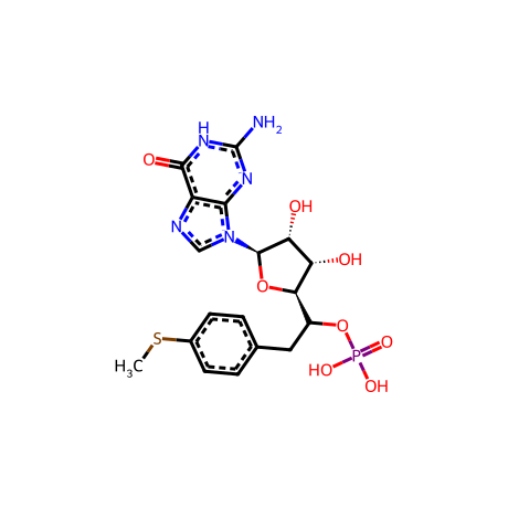 CSc1ccc(CC(OP(=O)(O)O)[C@H]2O[C@@H](n3cnc4c(=O)[nH]c(N)nc43)[C@H](O)[C@@H]2O)cc1